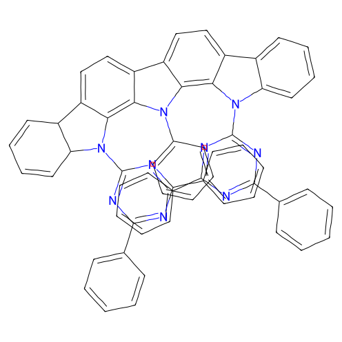 C1=CC2c3ccc4c5ccc6c7ccccc7n(-c7nc(-c8ccccc8)nc(-c8ccccc8)n7)c6c5n(-c5ccccc5)c4c3N(c3nc(-c4ccccc4)nc(-c4ccccc4)n3)C2C=C1